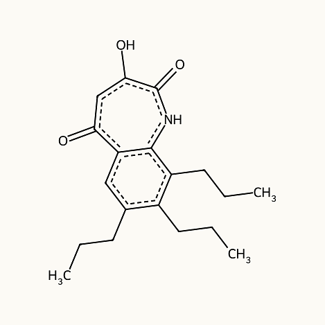 CCCc1cc2c(=O)cc(O)c(=O)[nH]c2c(CCC)c1CCC